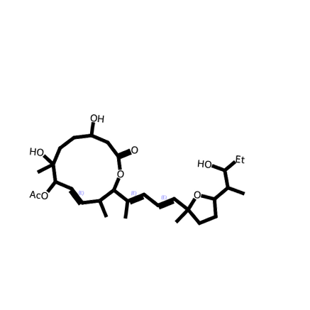 CCC(O)C(C)C1CCC(C)(/C=C/C=C(\C)C2OC(=O)CC(O)CCC(C)(O)C(OC(C)=O)/C=C/C2C)O1